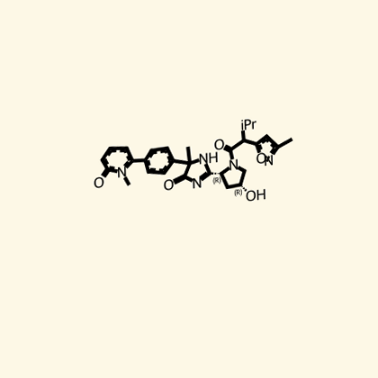 Cc1cc(C(C(=O)N2C[C@H](O)C[C@@H]2C2=NC(=O)C(C)(c3ccc(-c4cccc(=O)n4C)cc3)N2)C(C)C)on1